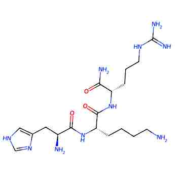 N=C(N)NCCC[C@H](NC(=O)[C@H](CCCCN)NC(=O)[C@@H](N)Cc1c[nH]cn1)C(N)=O